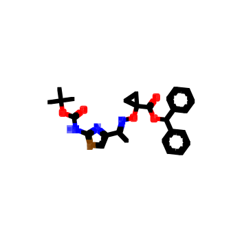 C/C(=N\OC1(C(=O)OC(c2ccccc2)c2ccccc2)CC1)c1csc(NC(=O)OC(C)(C)C)n1